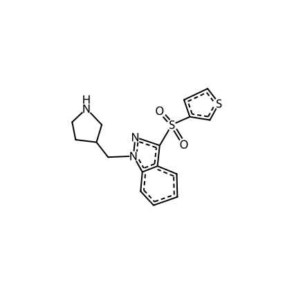 O=S(=O)(c1ccsc1)c1nn(CC2CCNC2)c2ccccc12